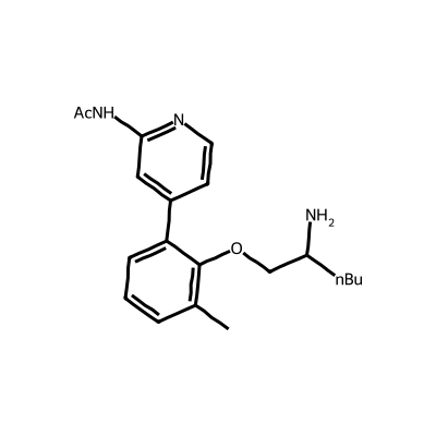 CCCCC(N)COc1c(C)cccc1-c1ccnc(NC(C)=O)c1